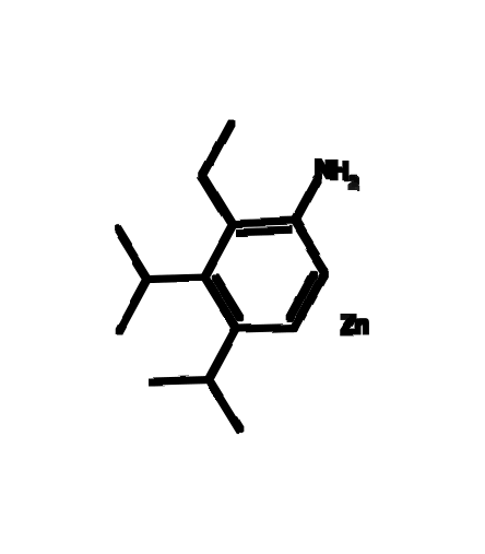 CCc1c(N)ccc(C(C)C)c1C(C)C.[Zn]